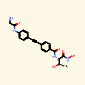 C[C@@H](O)[C@H](NC(=O)c1ccc(C#Cc2ccc(NC(=O)CN)cc2)cc1)C(=O)NO